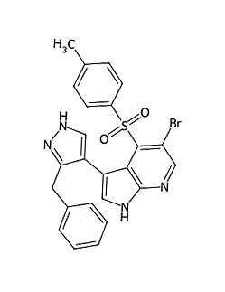 Cc1ccc(S(=O)(=O)c2c(Br)cnc3[nH]cc(-c4c[nH]nc4Cc4ccccc4)c23)cc1